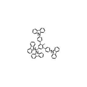 Cc1c(-c2ccc(-n3c4ccccc4c4ccccc43)cc2)cc(C(n2c3ccccc3c3ccccc32)n2c3ccccc3c3ccccc32)cc1-c1ccc(-n2c3ccccc3c3ccccc32)cc1